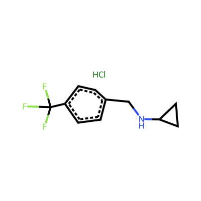 Cl.FC(F)(F)c1ccc(CNC2CC2)cc1